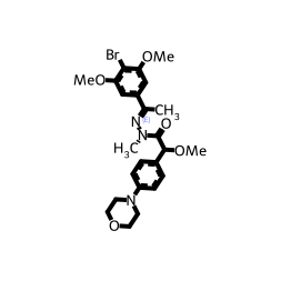 COc1cc(/C(C)=N/N(C)C(=O)C(OC)c2ccc(N3CCOCC3)cc2)cc(OC)c1Br